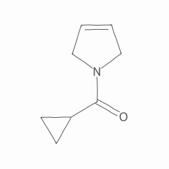 O=C(C1CC1)N1CC=CC1